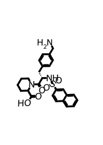 NCc1ccc(C[C@H](NS(=O)(=O)c2ccc3ccccc3c2)C(=O)N2CCCCC2C(=O)O)cc1